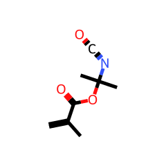 C=C(C)C(=O)OC(C)(C)N=C=O